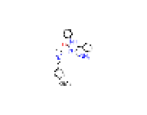 COC1=CC=C(CCN2CCC[C@@H]2CN(C(=O)Nc2ccccc2)[C@@H](CN)CC2CCCCC2)CC1